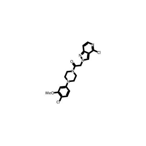 COc1cc(N2CCN(C(=O)Cn3cc4c(Cl)nccc4n3)CC2)ccc1Cl